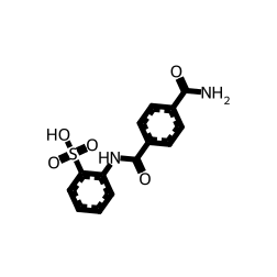 NC(=O)c1ccc(C(=O)Nc2ccccc2S(=O)(=O)O)cc1